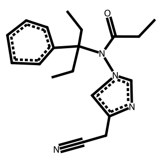 CCC(=O)N(n1cnc(CC#N)c1)C(CC)(CC)c1ccccc1